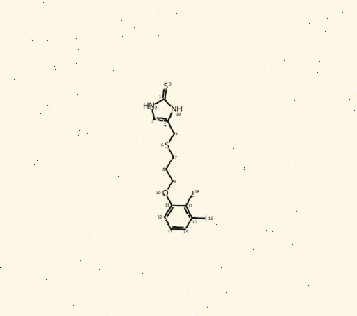 S=c1[nH]cc(CSCCCOc2cccc(I)c2I)[nH]1